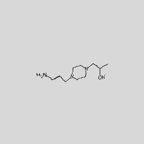 CC(O)CN1CCN(CCCN)CC1